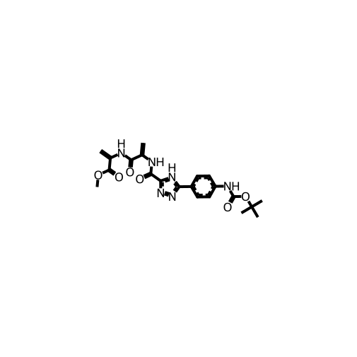 C=C(NC(=O)c1nnc(-c2ccc(NC(=O)OC(C)(C)C)cc2)[nH]1)C(=O)NC(=C)C(=O)OC